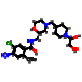 COc1cc(N)c(Cl)cc1C(=O)NC[C@H]1CN(CC2CCN(C(=O)CO)CC2)CCO1